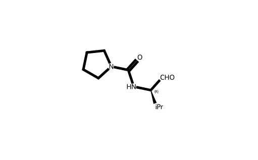 CC(C)[C@H](C=O)NC(=O)N1CCCC1